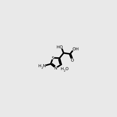 Nc1ncc(C(O)C(=O)O)s1.O